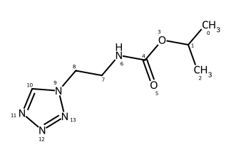 CC(C)OC(=O)NCCn1cnnn1